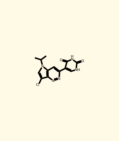 CC(C)n1cc(Cl)c2nnc(-c3c[nH]c(=O)[nH]c3=O)cc21